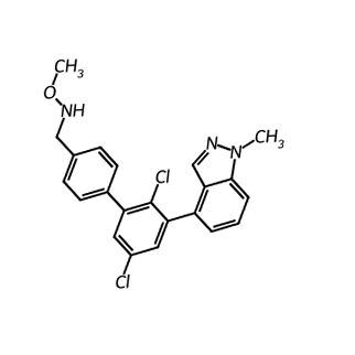 CONCc1ccc(-c2cc(Cl)cc(-c3cccc4c3cnn4C)c2Cl)cc1